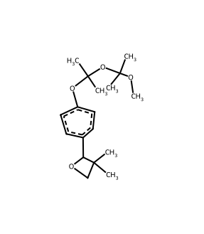 COC(C)(C)OC(C)(C)Oc1ccc(C2OCC2(C)C)cc1